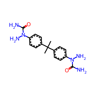 CC(C)(c1ccc(N(N)C(N)=O)cc1)c1ccc(N(N)C(N)=O)cc1